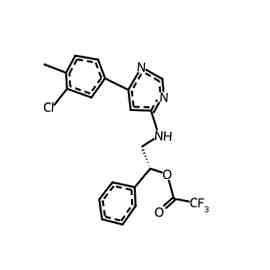 Cc1ccc(-c2cc(NC[C@H](OC(=O)C(F)(F)F)c3ccccc3)ncn2)cc1Cl